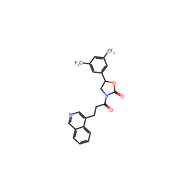 O=C(CCc1cncc2ccccc12)N1CC(c2cc(C(F)(F)F)cc(C(F)(F)F)c2)OC1=O